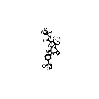 Cn1c(-c2nc3ccc(N4CCOC4=O)cc3n2C2CCC2)nc(C(=O)Nc2cnoc2)c(O)c1=O